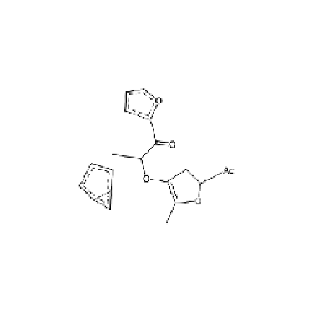 CC(=O)C1CC(OC(C)C(=O)c2ccco2)=C(C)O1.c1cc2cc-2c1